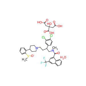 CN(CC(CCN1CCC(c2ccccc2[S@+](C)[O-])CC1)c1ccc(Cl)c(Cl)c1)C(=O)c1cc(C(F)(F)F)cc2ccccc12.O.O=C(O)CC(O)(CC(=O)O)C(=O)O